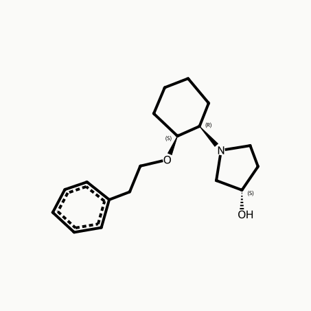 O[C@H]1CCN([C@@H]2CCCC[C@@H]2OCCc2ccccc2)C1